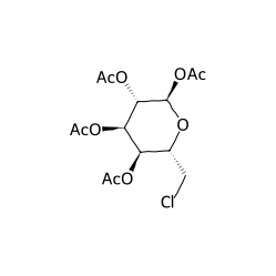 CC(=O)O[C@H]1O[C@H](CCl)[C@@H](OC(C)=O)[C@@H](OC(C)=O)[C@@H]1OC(C)=O